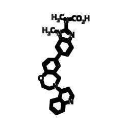 CN(C(=O)O)c1nc2ccc(-c3ccc4c(c3)CN(c3ccnc5ccccc35)CCO4)cc2n1C